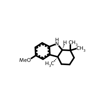 COc1ccc2c(c1)[C@]1(C)CCCC(C)(C)[C@@H]1N2